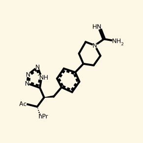 CCC[C@H](C(C)=O)[C@H](Cc1ccc(C2CCN(C(=N)N)CC2)cc1)c1nnn[nH]1